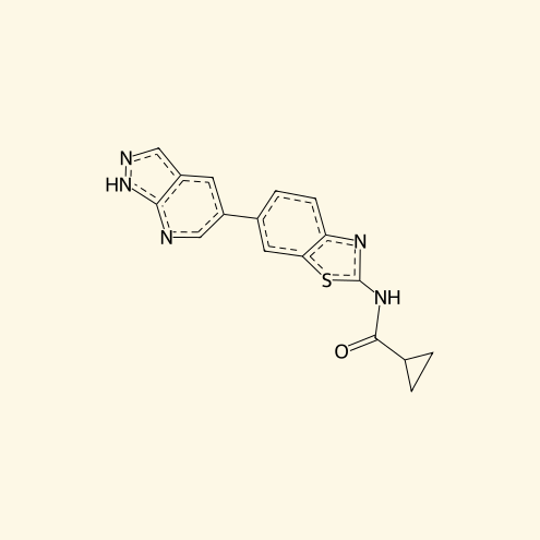 O=C(Nc1nc2ccc(-c3cnc4[nH]ncc4c3)cc2s1)C1CC1